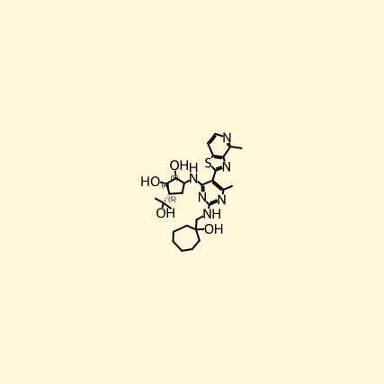 Cc1nc(NCC2(O)CCCCCC2)nc(NC2C[C@H](C(C)(C)O)[C@@H](O)[C@H]2O)c1-c1nc2c(C)nccc2s1